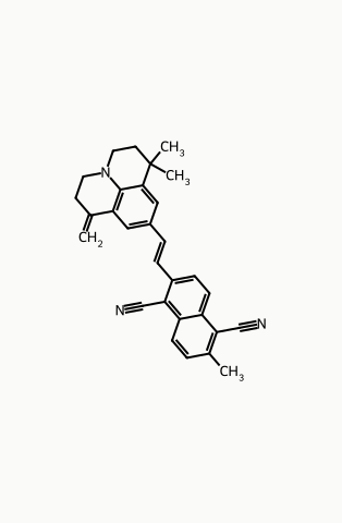 C=C1CCN2CCC(C)(C)c3cc(C=Cc4ccc5c(C#N)c(C)ccc5c4C#N)cc1c32